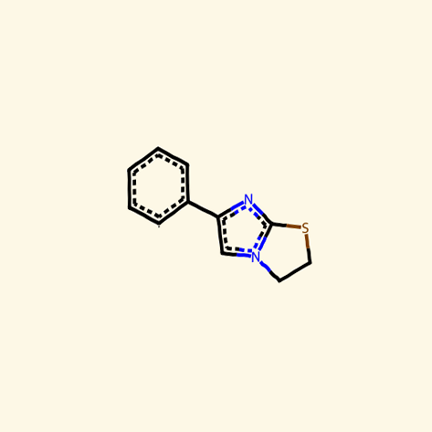 [c]1ccccc1-c1cn2c(n1)SCC2